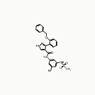 CS(=O)(=O)Nc1cc(Br)cc(NC(=O)c2c[nH]nc2-c2ccccc2OCc2ccccc2)c1